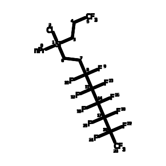 CCC[Si](Cl)(CCC(F)(F)F)CCC(F)(F)C(F)(F)C(F)(F)C(F)(F)C(F)(F)C(F)(F)F